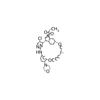 CCS(=O)(=O)n1cc2c3ccc(cc31)OC/C=C\CCCOc1cc(ccc1N1CCOCC1)Nc1ncc(Cl)c-2n1